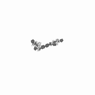 CC(C)C(NC(=O)OC1CCCC1)C(=O)N1CC=C[C@H]1c1nc(-c2ccc(-c3ccc(-c4cnc([C@@H]5C=CCN5C(=O)[C@@H](NC(=O)OC5CCCC5)C(C)C)[nH]4)cc3)cc2)c[nH]1